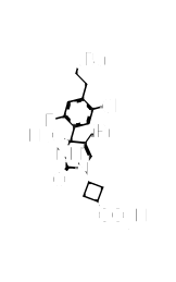 CC(C)C1=CN([C@H]2C[C@H](C(=O)O)C2)C(=O)N[C@]1(C)c1cc(Cl)c(CCC(C)(C)C)cc1F